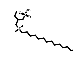 CCCCCCCCCCCCCC[N+](C)(C)CC(CC)CS(=O)(=O)O